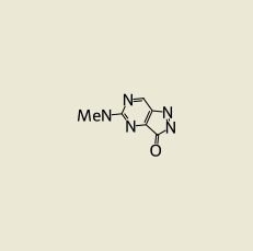 CNc1ncc2c(n1)C(=O)N=N2